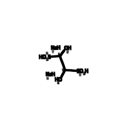 O=S(=O)(O)C(O)C(O)S(=O)(=O)O.[NaH].[NaH]